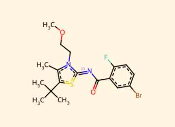 COCCn1c(C)c(C(C)(C)C)s/c1=N\C(=O)c1cc(Br)ccc1F